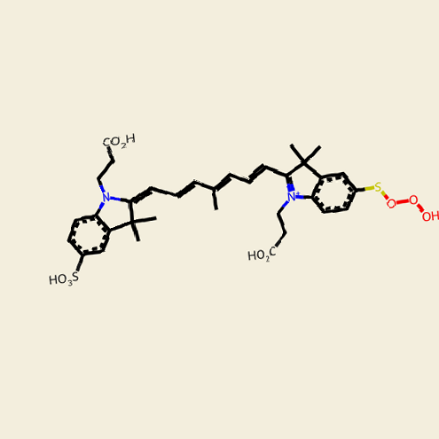 CC(/C=C/C=C1/N(CCC(=O)O)c2ccc(S(=O)(=O)O)cc2C1(C)C)=C\C=C\C1=[N+](CCC(=O)O)c2ccc(SOOO)cc2C1(C)C